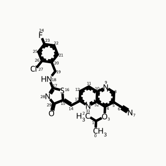 CC(C)Oc1c(C#N)cnc2ccc(/C=C3\SC(NCc4ccc(F)cc4Cl)=NC3=O)nc12